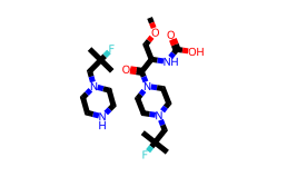 CC(C)(F)CN1CCNCC1.COCC(NC(=O)O)C(=O)N1CCN(CC(C)(C)F)CC1